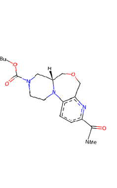 CNC(=O)c1ccc2c(n1)COC[C@H]1CN(C(=O)OC(C)(C)C)CCN21